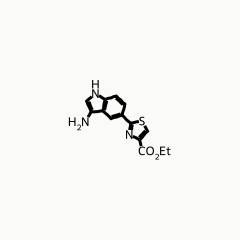 CCOC(=O)c1csc(-c2ccc3[nH]cc(N)c3c2)n1